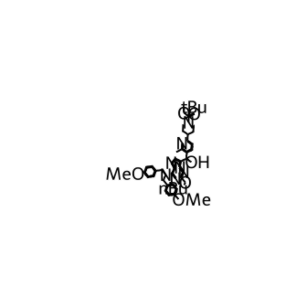 CCCCOc1nc(N(Cc2ccc(OC)cc2)Cc2ccc(OC)cc2)c2ncc(C(O)c3ccc(C4CCN(C(=O)OC(C)(C)C)CC4)nc3C)n2n1